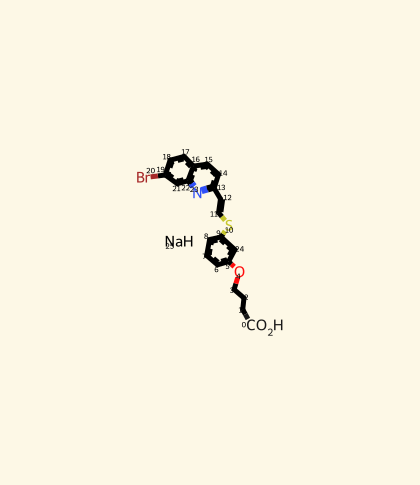 O=C(O)CCCOc1cccc(SC=Cc2ccc3ccc(Br)cc3n2)c1.[NaH]